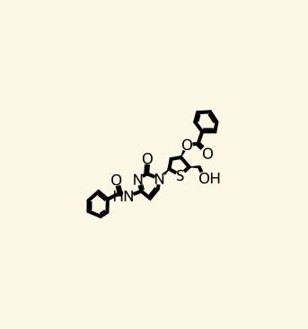 O=C(Nc1ccn([C@H]2C[C@@H](OC(=O)c3ccccc3)[C@@H](CO)S2)c(=O)n1)c1ccccc1